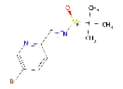 CC(C)(C)[S@+]([O-])/N=C/c1ccc(Br)cn1